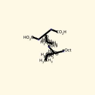 CCCCCCCC/C=C\CCCCCCCC(=O)OCC(COC(=O)CCNC(=O)C(O)C(C)(C)COC(=O)CCN(C)C)OC(=O)CCCCCCC/C=C\CCCCCCCC.CN(C)CCC(=O)OCC(C)(C)C(O)C(=O)NCCC(=O)OCC(CCCCCCCC/C=C\CCCCCCCC(=O)O)CCCCCCCCC/C=C\CCCCCCCC(=O)O